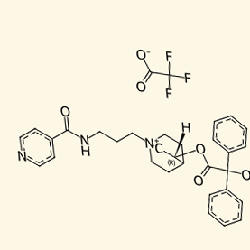 O=C(NCCC[N+]12CCC(CC1)[C@@H](OC(=O)C(O)(c1ccccc1)c1ccccc1)C2)c1ccncc1.O=C([O-])C(F)(F)F